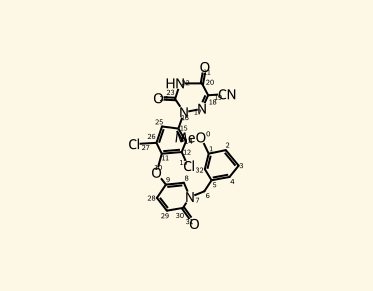 COc1cccc(Cn2cc(Oc3c(Cl)cc(-n4nc(C#N)c(=O)[nH]c4=O)cc3Cl)ccc2=O)c1